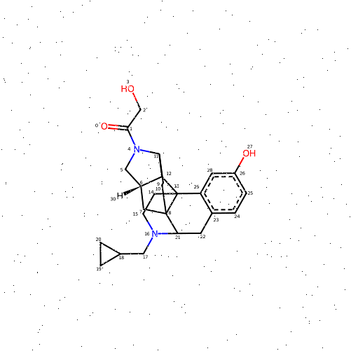 O=C(CO)N1C[C@H]2CC34CCC1C2C31CCN(CC2CC2)C4Cc2ccc(O)cc21